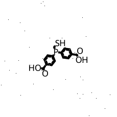 O=C(O)c1ccc(P(CS)c2ccc(C(=O)O)cc2)cc1